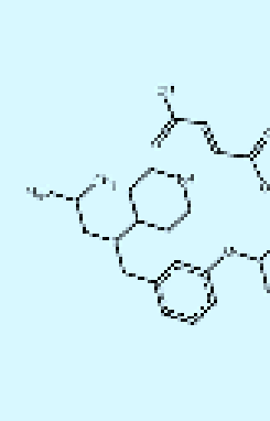 CC(C)CN(Cc1cccc(OC(F)F)c1)C1CCNCC1.O=C(O)/C=C/C(=O)O